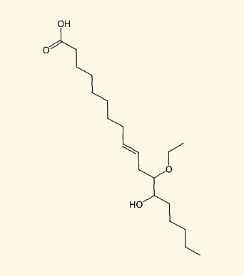 CCCCCC(O)C(CC=CCCCCCCCC(=O)O)OCC